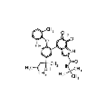 Cc1cccc(C)c1Oc1ccc(C(C)(O)CC(C)C)cc1-c1cn(C)c(=O)c2[nH]c(C(=O)NC(C)(C)C)cc12